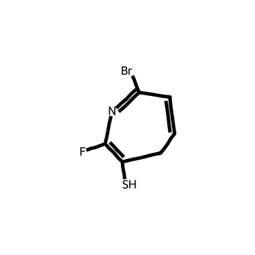 FC1=C(S)CC=CC(Br)=N1